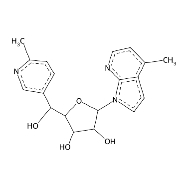 Cc1ccc(C(O)C2OC(n3ccc4c(C)ccnc43)C(O)C2O)cn1